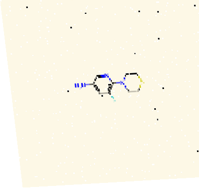 Nc1cnc(N2CCSCC2)c(F)c1